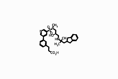 CN(C[C@H](O)CNC(C)(C)CC1Cc2ccccc2C1)S(=O)(=O)c1cncc(-c2cccc(CCC(=O)O)c2)c1